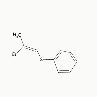 CC/C(C)=C\Sc1ccccc1